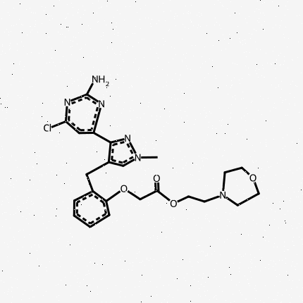 Cn1cc(Cc2ccccc2OCC(=O)OCCN2CCOCC2)c(-c2cc(Cl)nc(N)n2)n1